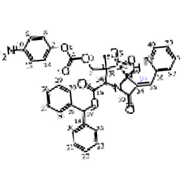 C[C@]1(COC(=O)Oc2ccc([N+](=O)[O-])cc2)[C@H](C(=O)OC(c2ccccc2)c2ccccc2)N2C(=O)/C(=C/c3ccccn3)[C@H]2S1(=O)=O